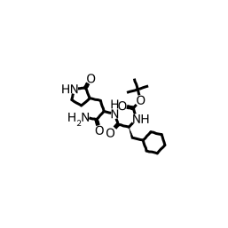 CC(C)(C)OC(=O)N[C@@H](CC1CCCCC1)C(=O)NC(CC1CCNC1=O)C(N)=O